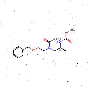 C[C@@H](CN(CCOCc1ccccc1)C(=O)C(=O)O)NC(=O)OC(C)(C)C